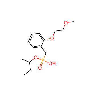 CCC(C)OP(=O)(O)Cc1ccccc1OCCOC